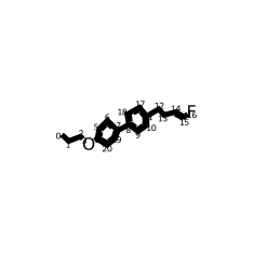 CCCOc1ccc(-c2ccc(CC/C=C/F)cc2)cc1